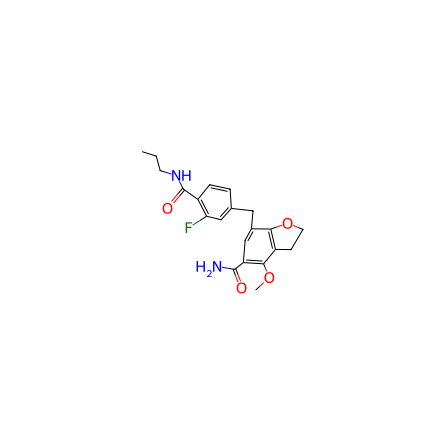 CCCNC(=O)c1ccc(Cc2cc(C(N)=O)c(OC)c3c2OCC3)cc1F